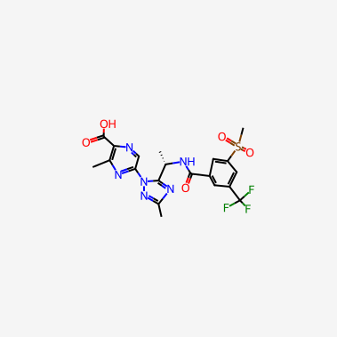 Cc1nc([C@H](C)NC(=O)c2cc(C(F)(F)F)cc(S(C)(=O)=O)c2)n(-c2cnc(C(=O)O)c(C)n2)n1